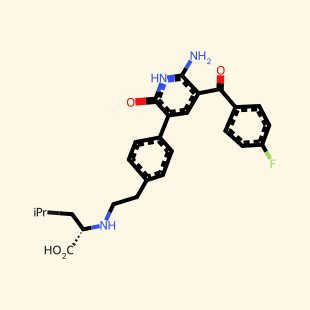 CC(C)C[C@H](NCCc1ccc(-c2cc(C(=O)c3ccc(F)cc3)c(N)[nH]c2=O)cc1)C(=O)O